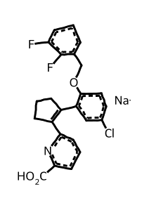 O=C(O)c1cccc(C2=C(c3cc(Cl)ccc3OCc3cccc(F)c3F)CCC2)n1.[Na]